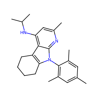 Cc1cc(C)c(-n2c3c(c4c(NC(C)C)cc(C)nc42)CCCC3)c(C)c1